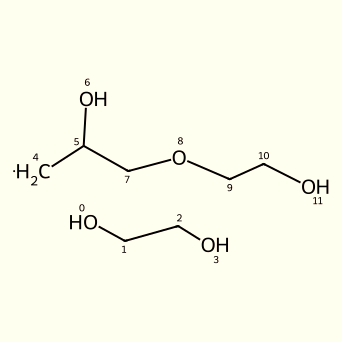 OCCO.[CH2]C(O)COCCO